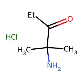 CCC(=O)C(C)(C)N.Cl